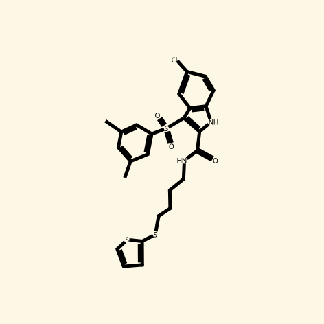 Cc1cc(C)cc(S(=O)(=O)c2c(C(=O)NCCCCSc3cccs3)[nH]c3ccc(Cl)cc23)c1